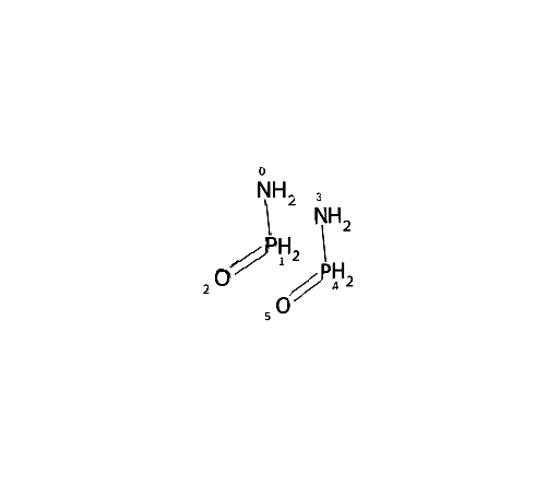 N[PH2]=O.N[PH2]=O